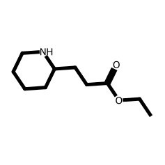 CCOC(=O)CCC1CCCCN1